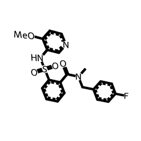 COc1ccncc1NS(=O)(=O)c1ccccc1C(=O)N(C)Cc1ccc(F)cc1